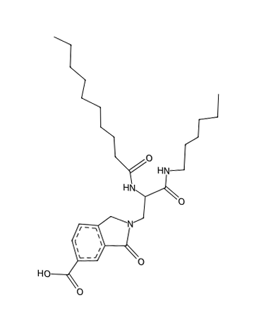 CCCCCCCCCC(=O)NC(CN1Cc2ccc(C(=O)O)cc2C1=O)C(=O)NCCCCCC